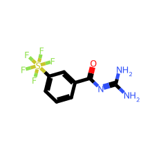 NC(N)=NC(=O)c1cccc(S(F)(F)(F)(F)F)c1